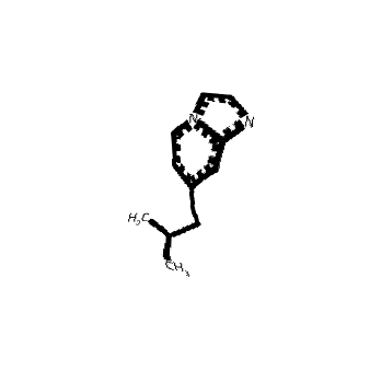 CC(C)Cc1ccn2ccnc2c1